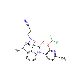 Cc1ccc(NC(=O)C2(c3ccccc3C(C)C)CN(CCC#N)C2)c(OC(F)F)n1